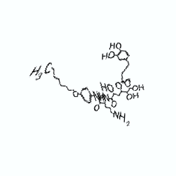 CCCCCCCCOc1ccc(NC(=O)C(CCCN)NC(=O)C(O)CC(OC(=O)CCc2ccc(O)c(O)c2)C(O)CO)cc1